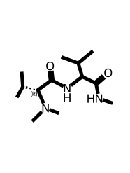 CNC(=O)C(NC(=O)[C@@H](C(C)C)N(C)C)C(C)C